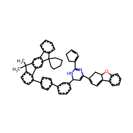 CC1(C)c2cc3c(cc2-c2c(-c4ccc(-c5cccc(C6C=C(C7=CC=C8c9ccccc9OC8C7)N=C(C7=CC=CCC7)N6)c5)cc4)cccc21)C1(CCCCC1)c1ccccc1-3